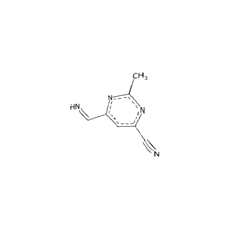 Cc1nc(C#N)cc(C=N)n1